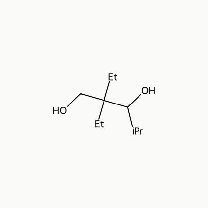 CCC(CC)(CO)C(O)C(C)C